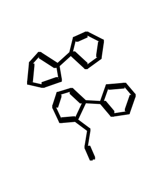 C=CCc1ccccc1-c1ccccc1.c1ccc(-c2ccccc2)cc1